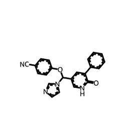 N#Cc1ccc(OC(c2c[nH]c(=O)c(-c3ccccc3)c2)n2ccnc2)cc1